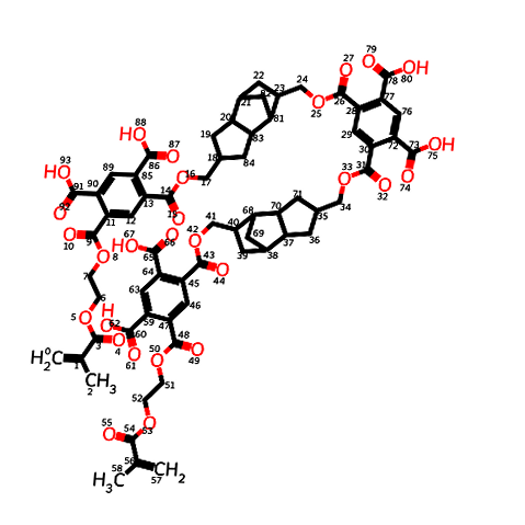 C=C(C)C(=O)OCCOC(=O)c1cc(C(=O)OCC2CC3C4CC(COC(=O)c5cc(C(=O)OCC6CC7C8CC(COC(=O)c9cc(C(=O)OCCOC(=O)C(=C)C)c(C(=O)O)cc9C(=O)O)C(C8)C7C6)c(C(=O)O)cc5C(=O)O)C(C4)C3C2)c(C(=O)O)cc1C(=O)O